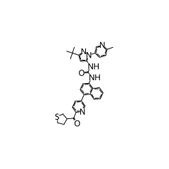 Cc1ccc(-n2nc(C(C)(C)C)cc2NC(=O)Nc2ccc(-c3ccc(C(=O)C4CCSC4)nc3)c3ccccc23)cn1